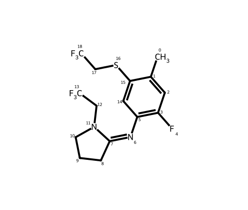 Cc1cc(F)c(/N=C2/CCCN2CC(F)(F)F)cc1SCC(F)(F)F